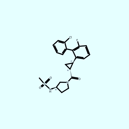 CS(=O)(=O)N[C@@H]1CCN(C(=O)[C@@H]2C[C@H]2c2cccc(F)c2-c2ccccc2Cl)C1